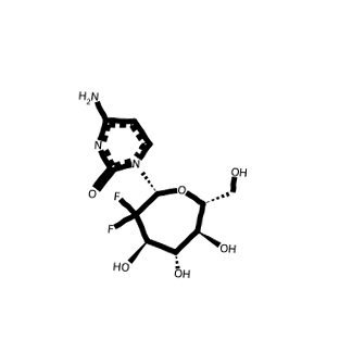 Nc1ccn([C@@H]2O[C@H](CO)[C@@H](O)[C@H](O)[C@@H](O)C2(F)F)c(=O)n1